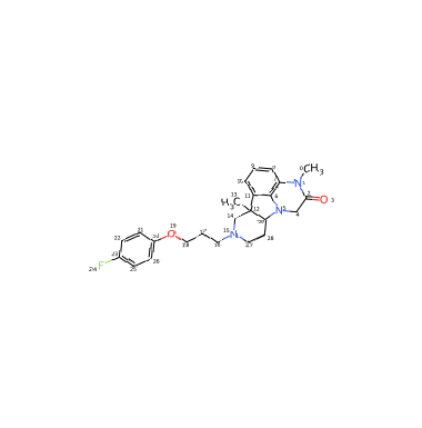 CN1C(=O)CN2c3c1cccc3C1(C)CN(CCCOc3ccc(F)cc3)CCC21